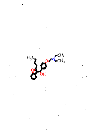 CCCCc1oc2ccccc2c1C(O)c1ccc(OCCN(CC)CC)cc1